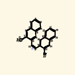 Oc1cc2ccccc2cc1/C=C\c1cc2ccccc2cc1Br